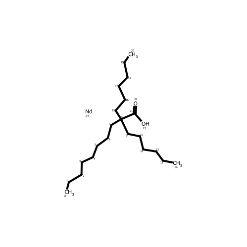 CCCCCCCCC(CCCCCC)(CCCCCC)C(=O)O.[Nd]